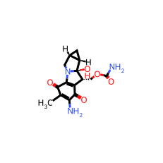 CC1=C(N)C(=O)C2=C(C1=O)N1C[C@@H]3C[C@@H]3[C@]1(O)[C@@H]2COC(N)=O